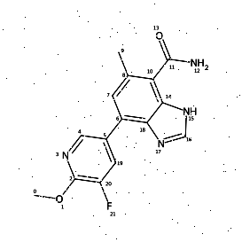 COc1ncc(-c2cc(C)c(C(N)=O)c3[nH]cnc23)cc1F